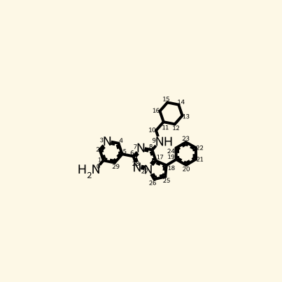 Nc1cncc(-c2nc(NCC3CCCCC3)c3c(-c4ccccc4)ccn3n2)c1